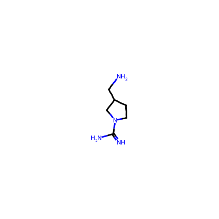 N=C(N)N1CCC(CN)C1